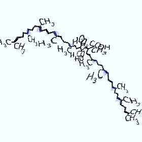 CC(C)=CCC/C(C)=C/CC/C(C)=C/CC/C=C(\C)CC/C=C(\C)CCC(CC(C)(OO)C(CC/C(C)=C/CC/C(C)=C/CC/C=C(\C)CC/C=C(\C)CCC=C(C)C)OO)C(C)(C)OO